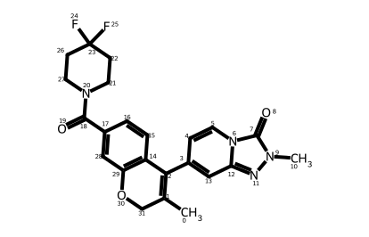 CC1=C(c2ccn3c(=O)n(C)nc3c2)c2ccc(C(=O)N3CCC(F)(F)CC3)cc2OC1